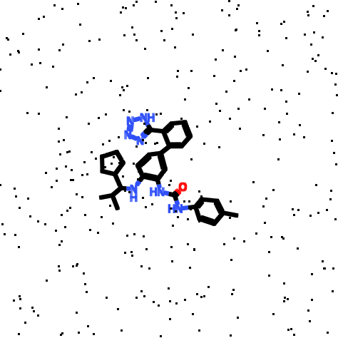 Cc1ccc(NC(=O)Nc2cc(-c3ccccc3-c3nnn[nH]3)ccc2NC(C(C)C)C2CCCC2)cc1